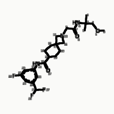 COCC(C)(C)NC(=O)CN1CC2(CCC(C(=O)Nc3cc(F)cc(C(F)F)c3)CC2)C1